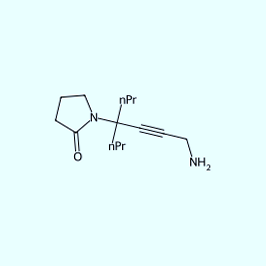 CCCC(C#CCN)(CCC)N1CCCC1=O